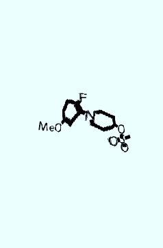 COc1ccc(F)c(N2CCC(OS(C)(=O)=O)CC2)c1